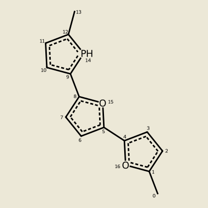 Cc1ccc(-c2ccc(-c3ccc(C)[pH]3)o2)o1